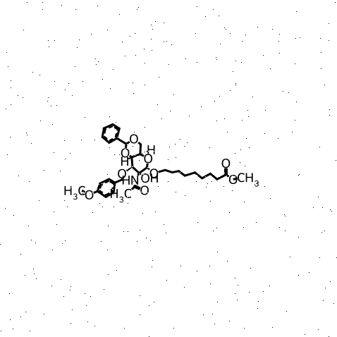 COC(=O)CCCCCCCCO[C@@H]1O[C@@H]2COC(c3ccccc3)O[C@H]2[C@H](OCc2ccc(OC)cc2)[C@]1(O)NC(C)=O